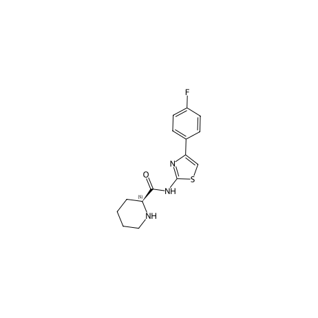 O=C(Nc1nc(-c2ccc(F)cc2)cs1)[C@@H]1CCCCN1